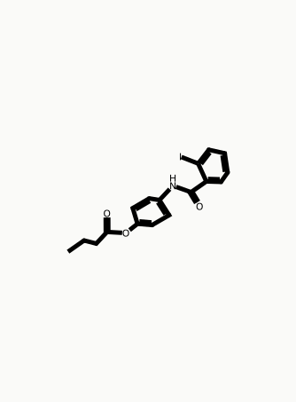 CCCC(=O)Oc1ccc(NC(=O)c2ccccc2I)cc1